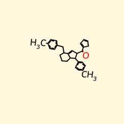 Cc1ccc(CC2CCCC3C2=CC(C(=O)C2=CC=CC2)C3c2ccc(C)cc2)cc1